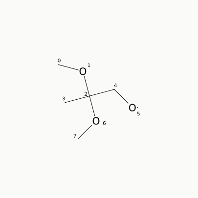 COC(C)(C[O])OC